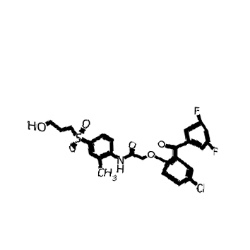 Cc1cc(S(=O)(=O)CCCO)ccc1NC(=O)COc1ccc(Cl)cc1C(=O)c1cc(F)cc(F)c1